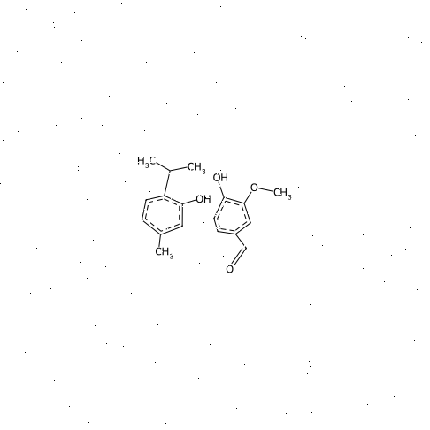 COc1cc(C=O)ccc1O.Cc1ccc(C(C)C)c(O)c1